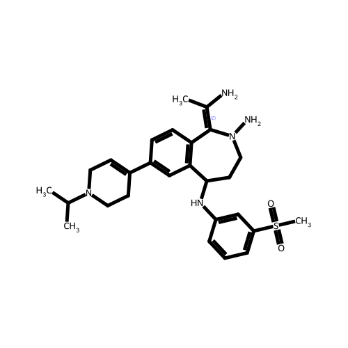 C/C(N)=C1\c2ccc(C3=CCN(C(C)C)CC3)cc2C(Nc2cccc(S(C)(=O)=O)c2)CCN1N